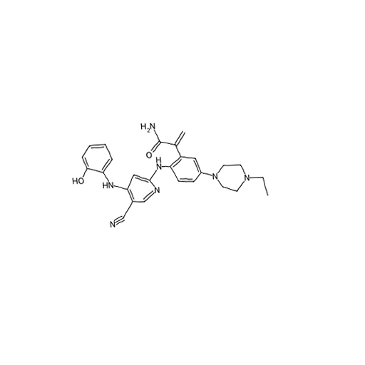 C=C(C(N)=O)c1cc(N2CCN(CC)CC2)ccc1Nc1cc(Nc2ccccc2O)c(C#N)cn1